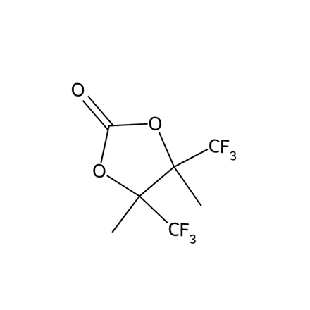 CC1(C(F)(F)F)OC(=O)OC1(C)C(F)(F)F